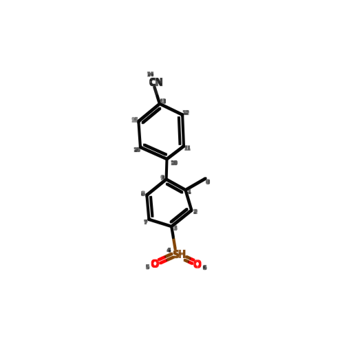 Cc1cc([SH](=O)=O)ccc1-c1ccc(C#N)cc1